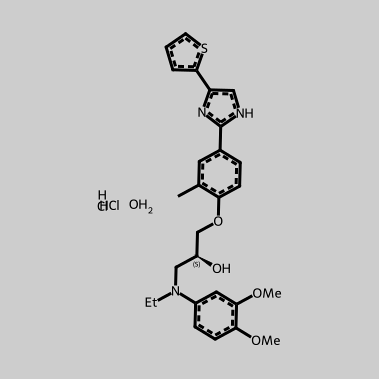 CCN(C[C@H](O)COc1ccc(-c2nc(-c3cccs3)c[nH]2)cc1C)c1ccc(OC)c(OC)c1.Cl.Cl.O